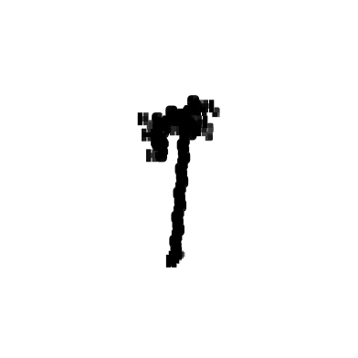 CC(C)C(NC(=O)CCOCCOCCOCCOCCOCCOCCOCCOCCOCCN=[N+]=[N-])C(=O)NC(CCCNC(N)=O)C(=O)NCC(=O)N(C)CC(=O)Nc1ccc(CO)cc1